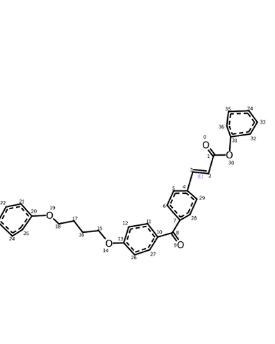 O=C(/C=C/c1ccc(C(=O)c2ccc(OCCCCOc3ccccc3)cc2)cc1)Oc1ccccc1